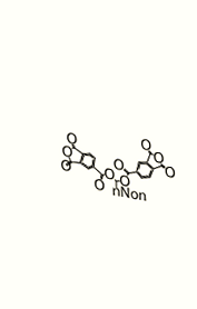 CCCCCCCCCC(OC(=O)c1ccc2c(c1)C(=O)OC2=O)OC(=O)c1ccc2c(c1)C(=O)OC2=O